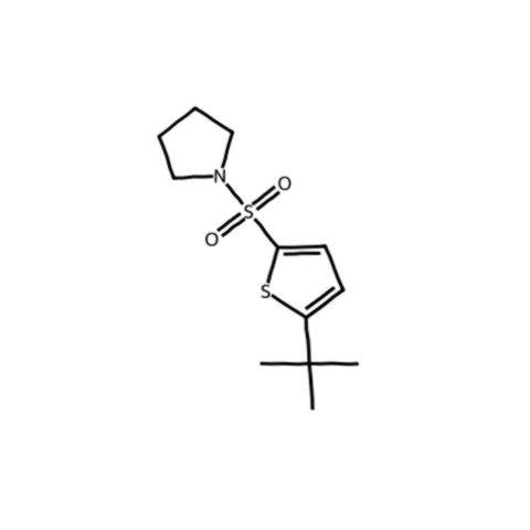 CC(C)(C)c1ccc(S(=O)(=O)N2CCCC2)s1